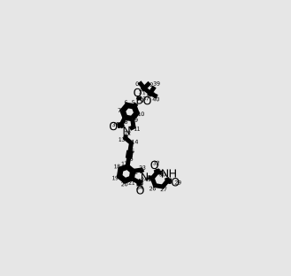 CC1(C)OB(c2ccc3c(c2)CN(CCC#Cc2cccc4c2CN(C2CCC(=O)NC2=O)C4=O)C3=O)OC1(C)C